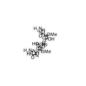 COC1[C@@H](OP(=O)(O)OC[C@H]2O[C@@H](n3cnc(N)nc3=O)[C@@H](OC)C2O)[C@@H](CO)O[C@H]1n1cnc2c(=O)[nH]c(N)nc21